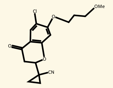 COCCCOc1cc2c(cc1Cl)C(=O)CC(C1(C#N)CC1)O2